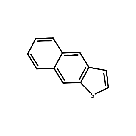 [c]1c2ccccc2cc2sccc12